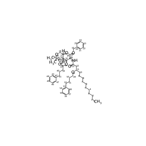 CCCCCCCCCCCC(CC(=O)N[C@H]1[C@H](OCc2ccccc2)O[C@@H]2COC(C)(C)O[C@H]2[C@@H]1OC(=O)CCCc1ccccc1)OCCCCc1ccccc1